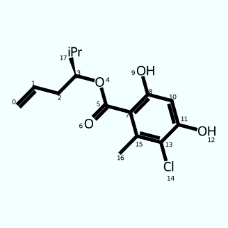 C=CC[C@H](OC(=O)c1c(O)cc(O)c(Cl)c1C)C(C)C